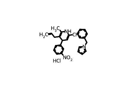 C=CCC1=C(C)NC(C)=CC1c1cccc([N+](=O)[O-])c1.Cl.c1ccc(Cn2cccc2)cc1